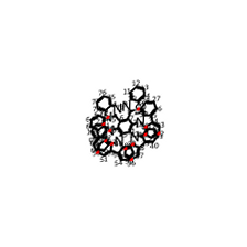 c1ccc(-n2c(-c3c(-c4nc5ccccc5s4)c(-n4c5ccccc5c5ccccc54)c(-n4c5ccccc5c5ccccc54)c(-n4c5ccccc5c5ccccc54)c3-n3c4ccccc4c4ccccc43)nc3ccccc32)cc1